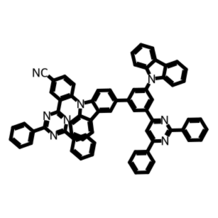 N#Cc1ccc(-n2c3ccccc3c3cc(-c4cc(-c5cc(-c6ccccc6)nc(-c6ccccc6)n5)cc(-n5c6ccccc6c6ccccc65)c4)ccc32)c(-c2nc(-c3ccccc3)nc(-c3ccccc3)n2)c1